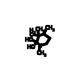 CC1CCN(C)C(O)(O)C1(C)C